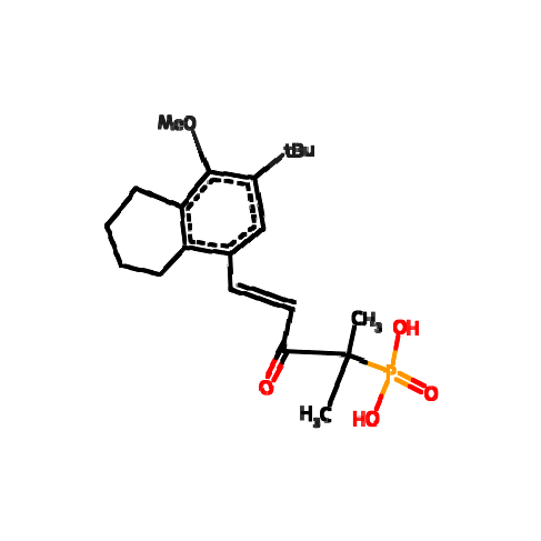 COc1c(C(C)(C)C)cc(/C=C/C(=O)C(C)(C)P(=O)(O)O)c2c1CCCC2